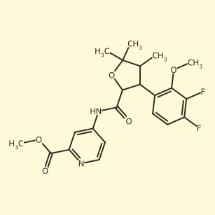 COC(=O)c1cc(NC(=O)C2OC(C)(C)C(C)C2c2ccc(F)c(F)c2OC)ccn1